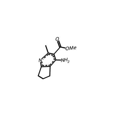 COC(=O)c1c(C)nc2c(c1N)CCC2